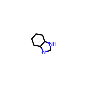 C1CCC2NC[N]C2C1